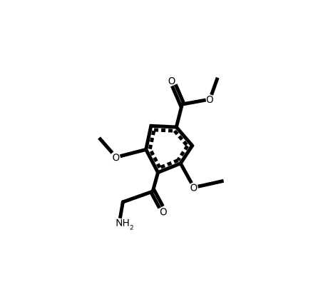 COC(=O)c1cc(OC)c(C(=O)CN)c(OC)c1